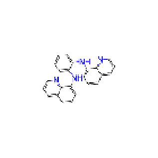 c1ccc(Nc2cccc3cccnc23)c(Nc2cccc3cccnc23)c1